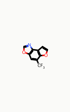 FC(F)(F)c1cc2ocnc2c2ccoc12